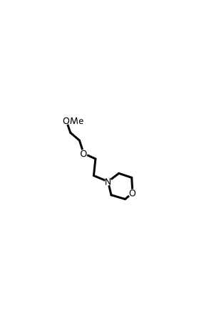 COCCOCCN1CCOCC1